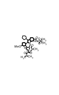 COc1ccc2c(c1)[C@H]1CN(C(=O)C(=O)N(C)C)C[C@]1(C(=O)N(C)C)Cn1c-2c(C2CCCCC2)c2ccc(C(=O)NS(=O)(=O)N(C)C)cc21